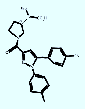 Cc1ccc(-n2nc(C(=O)N3CC[C@H](N(C(=O)O)C(C)(C)C)C3)cc2-c2ccc(C#N)cc2)cc1